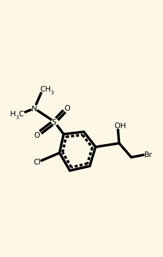 CN(C)S(=O)(=O)c1cc(C(O)CBr)ccc1Cl